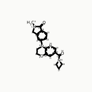 CN1Cc2cc(N3CCOc4cc(C(=O)N5CCC5)cnc43)ccc2C1=O